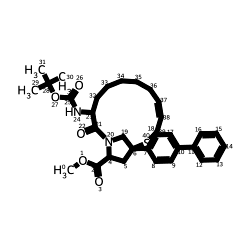 COC(=O)C1CC2(c3ccc(-c4ccccc4)cc3)CN1C(=O)C(NC(=O)OC(C)(C)C)CCCCCC=CCS2